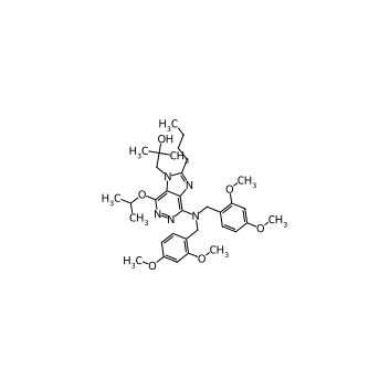 CCCCc1nc2c(N(Cc3ccc(OC)cc3OC)Cc3ccc(OC)cc3OC)nnc(OC(C)C)c2n1CC(C)(C)O